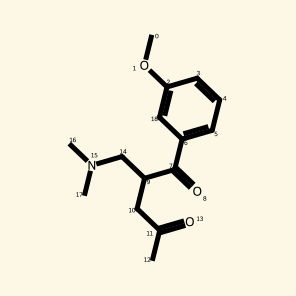 COc1cccc(C(=O)C(CC(C)=O)CN(C)C)c1